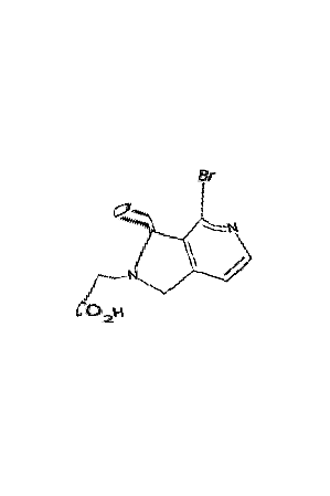 O=C(O)CN1Cc2ccnc(Br)c2C1=O